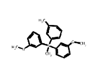 COc1cccc(S(C)(c2cccc(C)c2)c2cccc(OC)c2)c1